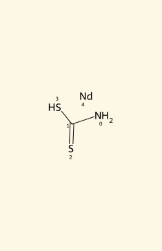 NC(=S)S.[Nd]